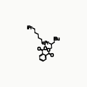 CCCC(COC(=O)c1ccccc1C(=O)OCCCCCCCC(C)C)CC(C)CC